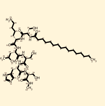 CCCCCCCCCCCCCCCC(=O)N[C@@H](CO)C(=O)N[C@@H](CCCCN)C(=O)N[C@@H](CC(C)C)C(=O)N[C@@H](CO)C(=O)N[C@@H](Cc1cnc[nH]1)C(=O)N[C@@H](CO)C(=O)NC